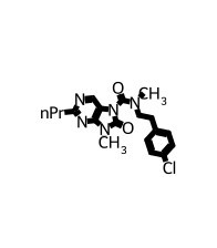 CCCc1ncc2c(n1)n(C)c(=O)n2C(=O)N(C)CCc1ccc(Cl)cc1